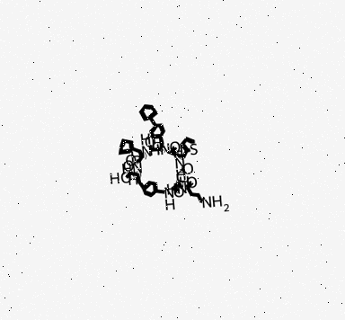 NCCCC(=O)N[C@H]1CC(=O)N[C@H](Cc2cccs2)C(=O)N[C@@H](Cc2ccc(-c3ccccc3)cc2)C(=O)N[C@H](Cc2ccccc2)C(=O)N[C@H](C(=O)O)Cc2ccc(cc2)NC1=O